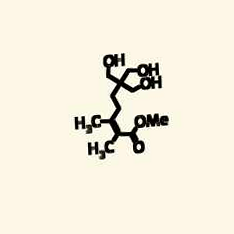 COC(=O)C(C)=C(C)CCC(CO)(CO)CO